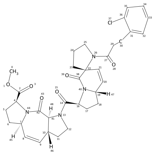 COC(=O)[C@@H]1CC[C@@H]2C=C[C@H]3CCN(C(=O)[C@@H]4CC[C@H]5C=C[C@]6(CCCN6C(=O)CCc6ccccc6Cl)C(=O)N54)[C@@H]3C(=O)N21